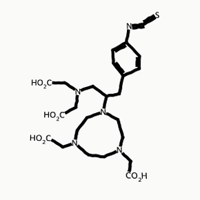 O=C(O)CN1CCN(CC(=O)O)CCN(C(Cc2ccc(N=C=S)cc2)CN(CC(=O)O)CC(=O)O)CC1